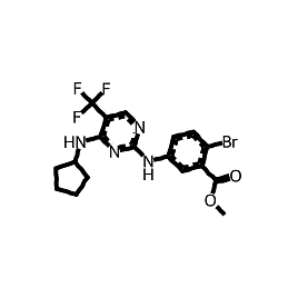 COC(=O)c1cc(Nc2ncc(C(F)(F)F)c(NC3CCCC3)n2)ccc1Br